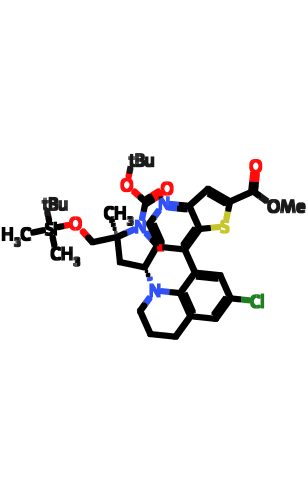 COC(=O)c1cc2nccc(-c3cc(Cl)cc4c3N([C@H]3CN(C(=O)OC(C)(C)C)[C@](C)(CO[Si](C)(C)C(C)(C)C)C3)CCC4)c2s1